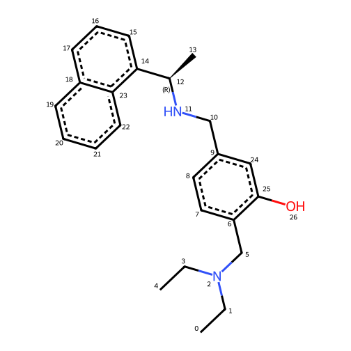 CCN(CC)Cc1ccc(CN[C@H](C)c2cccc3ccccc23)cc1O